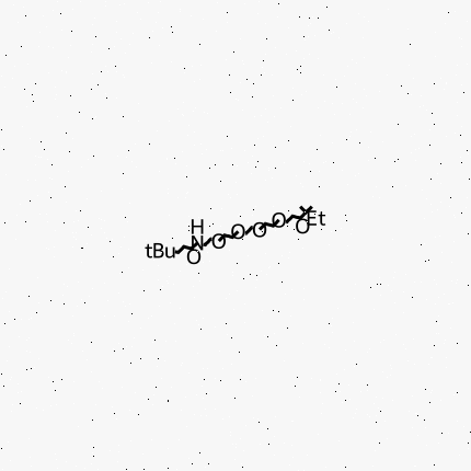 CCC(C)(C)C(=O)CCOCCOCCOCCOCCNC(=O)CCC(C)(C)C